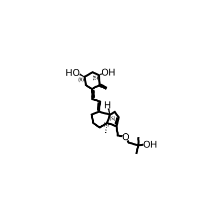 C=C1C(=CC=C2CCC[C@]3(C)C(COCC(C)(C)O)=CC[C@@H]23)C[C@@H](O)C[C@@H]1O